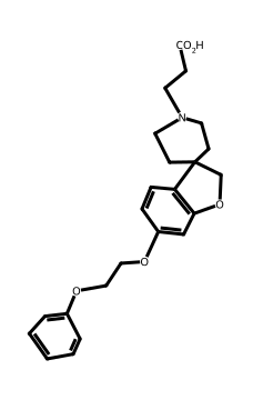 O=C(O)CCN1CCC2(CC1)COc1cc(OCCOc3ccccc3)ccc12